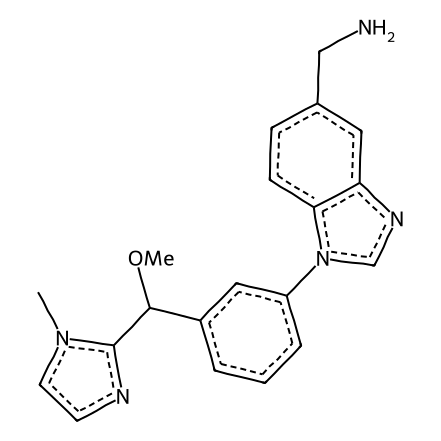 COC(c1cccc(-n2cnc3cc(CN)ccc32)c1)c1nccn1C